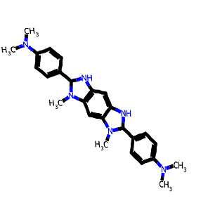 CN(C)c1ccc(C2Nc3cc4c(cc3N2C)N(C)C(c2ccc(N(C)C)cc2)N4)cc1